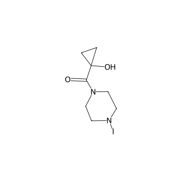 O=C(N1CCN(I)CC1)C1(O)CC1